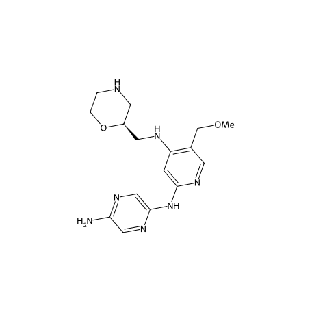 COCc1cnc(Nc2cnc(N)cn2)cc1NC[C@@H]1CNCCO1